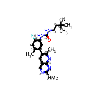 CNc1ncc2cc(-c3cc(NC(=O)NCCC(C)(C)C#N)c(F)cc3C)c(C)nc2n1